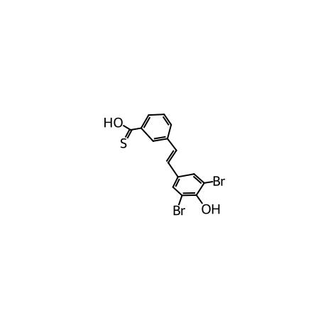 OC(=S)c1cccc(C=Cc2cc(Br)c(O)c(Br)c2)c1